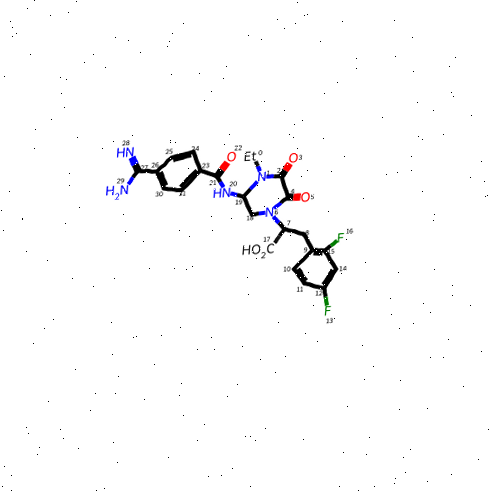 CCN1C(=O)C(=O)N(C(Cc2ccc(F)cc2F)C(=O)O)CC1NC(=O)c1ccc(C(=N)N)cc1